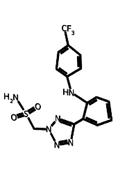 NS(=O)(=O)Cn1nnc(-c2ccccc2Nc2ccc(C(F)(F)F)cc2)n1